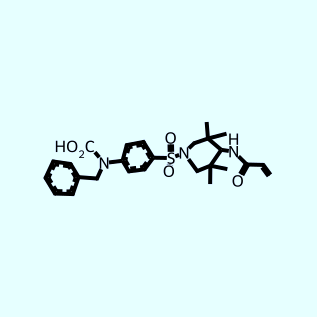 C=CC(=O)NC1C(C)(C)CN(S(=O)(=O)c2ccc(N(Cc3ccccc3)C(=O)O)cc2)CC1(C)C